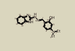 CCN(CC)c1ccc(C=NNc2nc3ccccc3[nH]2)c(O)c1